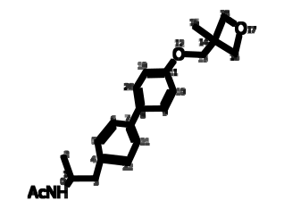 CC(=O)NC(C)Cc1ccc(-c2ccc(OCC3(C)COC3)cc2)cc1